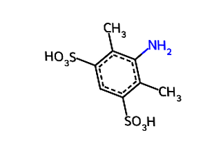 Cc1c(S(=O)(=O)O)cc(S(=O)(=O)O)c(C)c1N